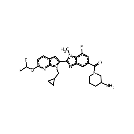 Cn1c(-c2cc3ccc(OC(F)F)nc3n2CC2CC2)nc2cc(C(=O)N3CCCC(N)C3)cc(F)c21